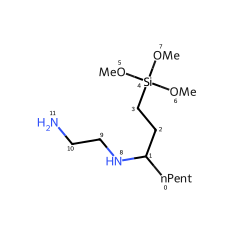 CCCCCC(CC[Si](OC)(OC)OC)NCCN